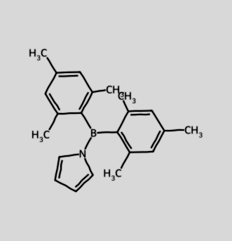 Cc1cc(C)c(B(c2c(C)cc(C)cc2C)n2cccc2)c(C)c1